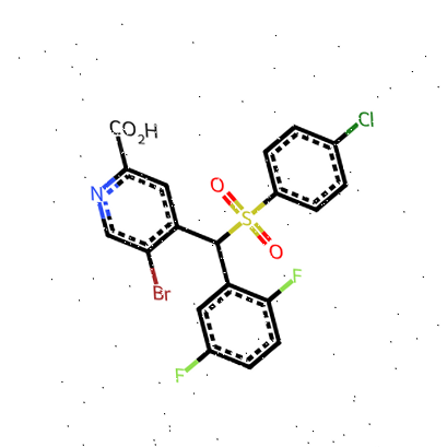 O=C(O)c1cc(C(c2cc(F)ccc2F)S(=O)(=O)c2ccc(Cl)cc2)c(Br)cn1